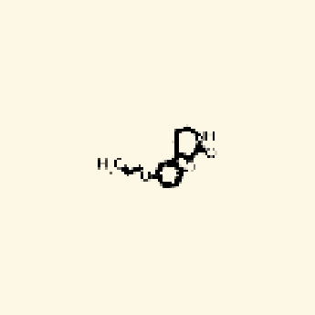 C=CCOc1ccc2oc3c(c2c1)CCCNC3=O